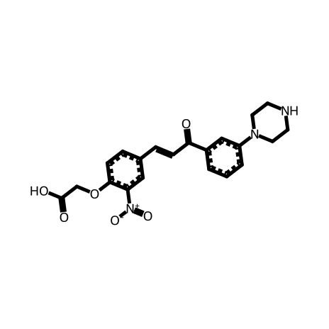 O=C(O)COc1ccc(C=CC(=O)c2cccc(N3CCNCC3)c2)cc1[N+](=O)[O-]